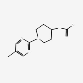 NC(=O)OC1CCN(c2ncc(Cl)cn2)CC1